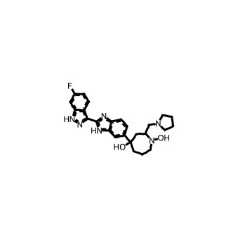 ON1CCCC(O)(c2ccc3nc(-c4n[nH]c5cc(F)ccc45)[nH]c3c2)CC1CN1CCCC1